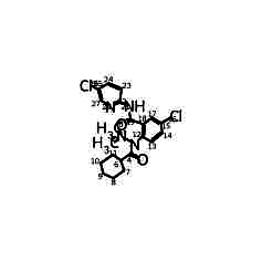 CN(C)N(C(=O)C1CCCCC1)c1ccc(Cl)cc1C(=O)Nc1ccc(Cl)cn1